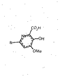 COc1cc(Br)nc(C(=O)O)c1O